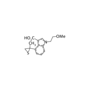 COCCn1cc(C(=O)O)c2c(C3(C)CS3)cccc21